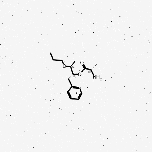 CCCO[C@@H](C)[C@@H](Cc1ccccc1)OC(=O)[C@H](C)N